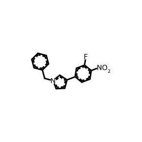 O=[N+]([O-])c1ccc(-c2ccn(Cc3ccccc3)c2)cc1F